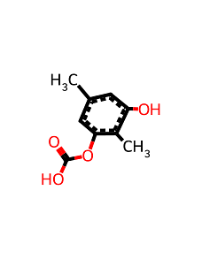 Cc1cc(O)c(C)c(OC(=O)O)c1